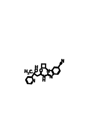 C[C@](O)(CC(=O)Nc1nc2ccc(C#N)cc2n1C1CCC1)c1ccccn1